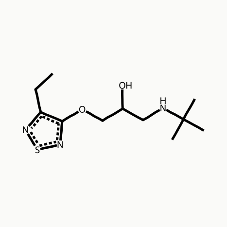 CCc1nsnc1OCC(O)CNC(C)(C)C